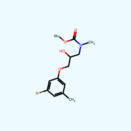 Cc1cc(Br)cc(OCC(O)CN(C)C(=O)OC(C)(C)C)c1